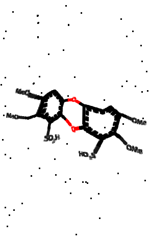 COc1cc2c(c(S(=O)(=O)O)c1OC)Oc1c(cc(OC)c(OC)c1S(=O)(=O)O)O2